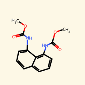 COC(=O)Nc1cccc2cccc(NC(=O)OC)c12